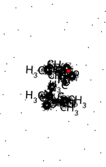 COc1nc(-c2ccccc2)cc(C(=O)C=Nc2c(C)cc(C)cc2C)c1-c1ccccc1.COc1ncc(C(=O)C=Nc2c(C)cc(C)cc2C)c(-c2[c]([Co])ccc[c]2[Ni])c1-c1ccccc1.Cl.Cl